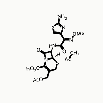 CC(C)=O.CO/N=C(/C(=O)N[C@@H]1C(=O)N2C(C(=O)O)=C(COC(C)=O)CS[C@H]12)c1csc(N)n1